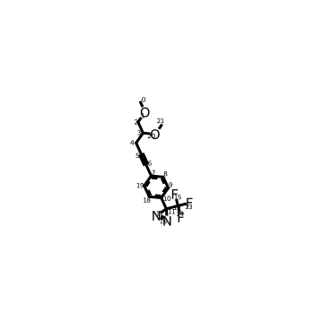 COCC(CC#Cc1ccc(C2(C(F)(F)F)N=N2)cc1)OC